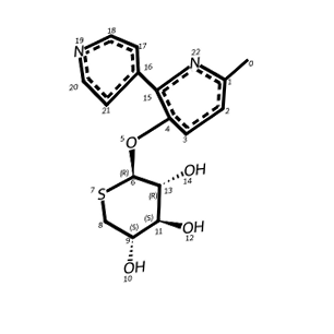 Cc1ccc(O[C@@H]2SC[C@@H](O)[C@H](O)[C@H]2O)c(-c2ccncc2)n1